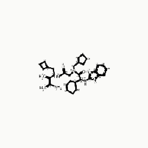 C=C(N)C(=C)C(CC1CCC1)NC(=O)CN(CC1CCCC1)C(=O)[C@@H](Nc1nc2ccccc2o1)C1CCCCC1